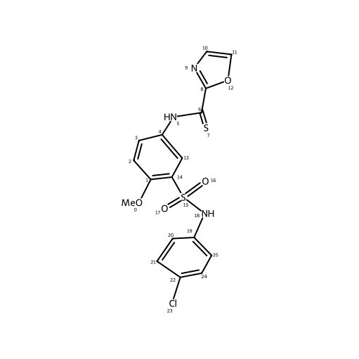 COc1ccc(NC(=S)c2ncco2)cc1S(=O)(=O)Nc1ccc(Cl)cc1